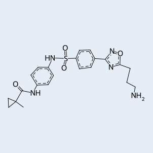 CC1(C(=O)Nc2ccc(NS(=O)(=O)c3ccc(-c4noc(CCCN)n4)cc3)cc2)CC1